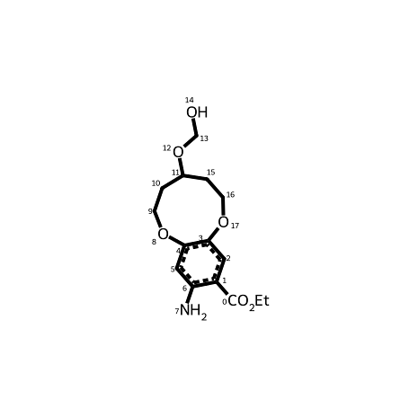 CCOC(=O)c1cc2c(cc1N)OCCC(OCO)CCO2